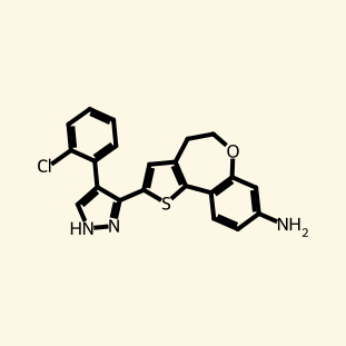 Nc1ccc2c(c1)OCCc1cc(-c3n[nH]cc3-c3ccccc3Cl)sc1-2